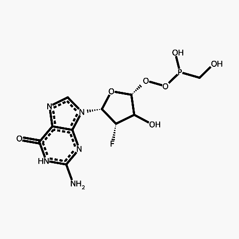 Nc1nc2c(ncn2[C@@H]2O[C@H](OOP(O)CO)C(O)[C@@H]2F)c(=O)[nH]1